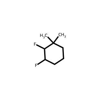 CC1(C)CCCC(F)C1F